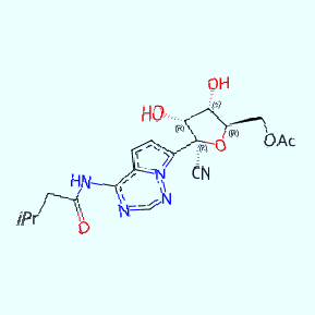 CC(=O)OC[C@H]1O[C@@](C#N)(c2ccc3c(NC(=O)CC(C)C)ncnn23)[C@H](O)[C@@H]1O